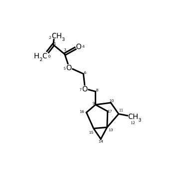 C=C(C)C(=O)OCOCC12CC(C)C3(CC3C1)C2